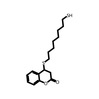 O=C1CC(SCCCCCCCCS)c2ccccc2O1